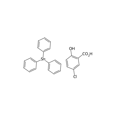 O=C(O)c1cc(Cl)ccc1O.c1cc[c]([Sn]([c]2ccccc2)[c]2ccccc2)cc1